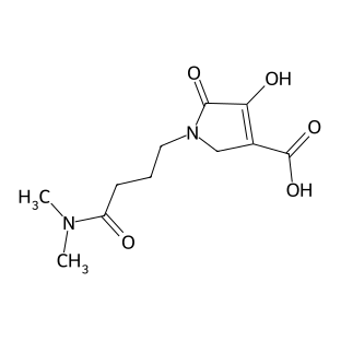 CN(C)C(=O)CCCN1CC(C(=O)O)=C(O)C1=O